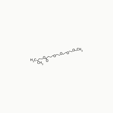 CCOCCOCCOCCOCCCC(=O)OCCC(C)C